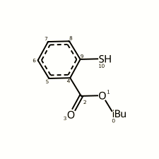 CCC(C)OC(=O)c1ccccc1S